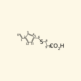 C=Cc1ccc(CSCCC(=O)O)cc1